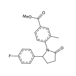 COC(=O)c1ccc(N2C(=O)CCC2c2ccc(F)cc2)c(C)c1